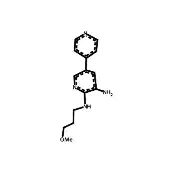 COCCCNc1ncc(-c2ccncc2)cc1N